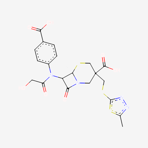 Cc1nnc(SCC2(C(=O)O)CS[C@@H]3C(N(C(=O)CO)c4ccc(C(=O)O)cc4)C(=O)N3C2)s1